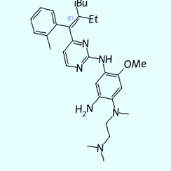 CC/C(=C(\c1ccnc(Nc2cc(N)c(N(C)CCN(C)C)cc2OC)n1)c1ccccc1C)C(C)CC